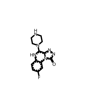 O=c1nnc2c(N3CCNCC3)[nH]c3ccc(F)cc3n1-2